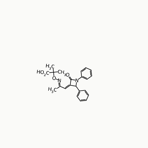 CC(C=C1C(=O)N(c2ccccc2)C1c1ccccc1)=NOC(C)(C)C(=O)O